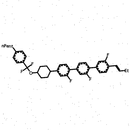 CC/C=C/c1ccc(-c2ccc(-c3ccc(C4CCC(OC(F)(F)c5ccc(CCCCC)cc5)CC4)cc3F)cc2F)cc1F